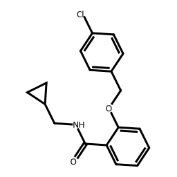 O=C(NCC1CC1)c1ccccc1OCc1ccc(Cl)cc1